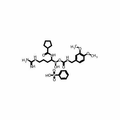 COc1ccc(CNC(=O)OB(O)C(CCCNC(=N)N)NC(=O)C2CCCC2)cc1OC.O=S(=O)(O)c1ccccc1